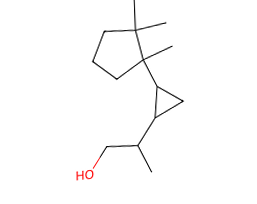 CC(CO)C1CC1C1(C)CCCC1(C)C